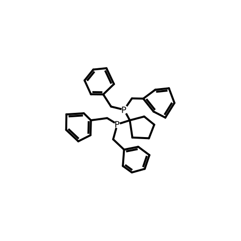 c1ccc(CP(Cc2ccccc2)C2(P(Cc3ccccc3)Cc3ccccc3)CCCC2)cc1